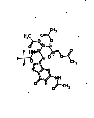 CC(=O)Nc1nc2c(ncn2[C@@H]2O[C@H](COC(C)=O)[C@@H](OC(C)=O)[C@H](OC(C)=O)[C@@H]2NC(=O)C(F)(F)F)c(=O)[nH]1